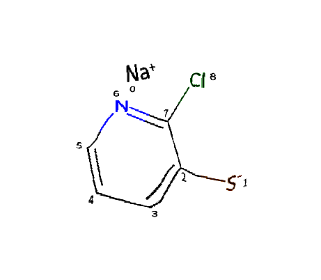 [Na+].[S-]c1cccnc1Cl